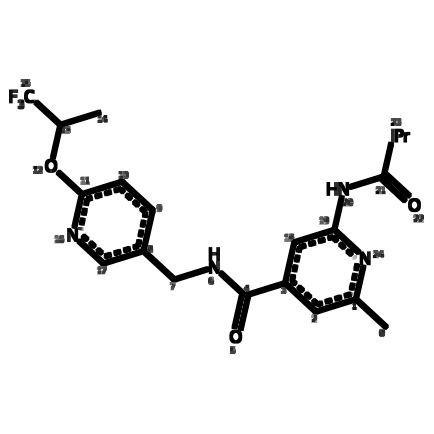 Cc1cc(C(=O)NCc2ccc(OC(C)C(F)(F)F)nc2)cc(NC(=O)C(C)C)n1